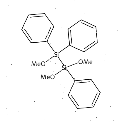 CO[Si](OC)(c1ccccc1)[Si](OC)(c1ccccc1)c1ccccc1